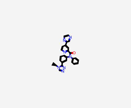 O=C(c1cc(-c2cnccn2)ccn1)N(c1ccccc1)c1cccc(-c2nncn2C2CC2)c1